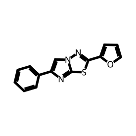 c1ccc(-c2cn3nc(-c4ccco4)sc3n2)cc1